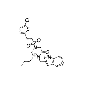 CCC[C@H]1CN(S(=O)(=O)C=Cc2ccc(Cl)s2)CC(=O)N1Cc1cc2cnccc2[nH]1